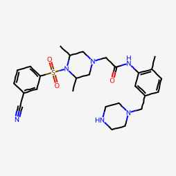 Cc1ccc(CN2CCNCC2)cc1NC(=O)CN1CC(C)N(S(=O)(=O)c2cccc(C#N)c2)C(C)C1